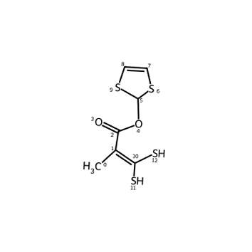 CC(C(=O)OC1SC=CS1)=C(S)S